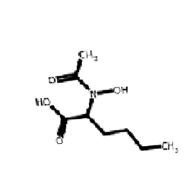 CCCCC(C(=O)O)N(O)C(C)=O